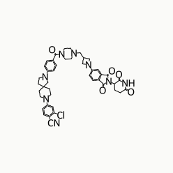 N#Cc1ccc(N2CCC3(CC2)CCN(c2ccc(C(=O)N4CCN(CC5CN(c6ccc7c(c6)C(=O)N(C6CCC(=O)NC6=O)C7=O)C5)CC4)cc2)C3)cc1Cl